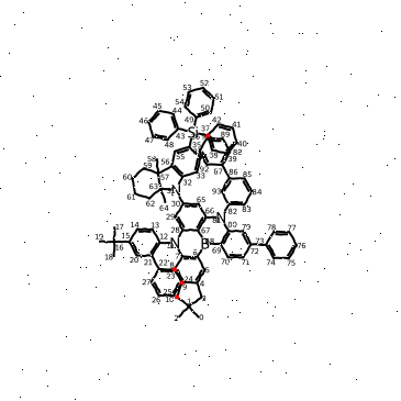 CC1(C)Cc2cc3c(cc2C1)N(c1ccc(C(C)(C)C)cc1-c1ccccc1)c1cc(N2c4ccc([Si](c5ccccc5)(c5ccccc5)c5ccccc5)cc4C4(C)CCCCC24C)cc2c1B3c1ccc(-c3ccccc3)cc1N2c1cccc(-c2ccccc2)c1